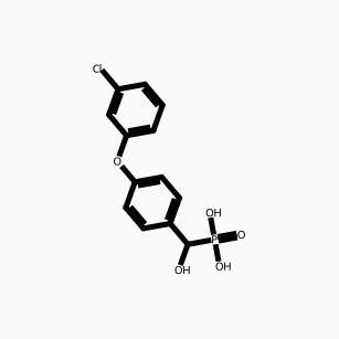 O=P(O)(O)C(O)c1ccc(Oc2cccc(Cl)c2)cc1